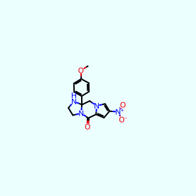 COc1ccc(C23Cn4cc([N+](=O)[O-])cc4C(=O)N2CCN3)cc1